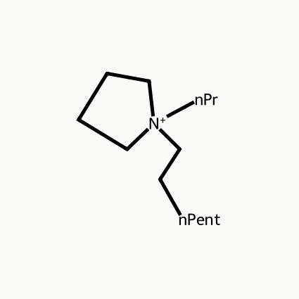 CCCCCCC[N+]1(CCC)CCCC1